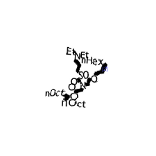 CCCCCC/C=C\COC(=O)CN(CC(=O)OC(CCCCCCCC)CCCCCCCC)C(=O)SCCCN(CC)CC